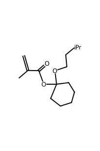 C=C(C)C(=O)OC1(OCCC(C)C)CCCCC1